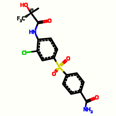 C[C@@](O)(C(=O)Nc1ccc(S(=O)(=O)c2ccc(C(N)=O)cc2)cc1Cl)C(F)(F)F